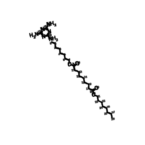 CCCCCCCCOC(=O)CCCCCCCC(=O)OCCCCCCCC.Nc1nc(N)nc(N)n1